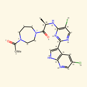 COC(=O)N1CCCN(C(=O)[C@@H](C)Nc2nc(-c3c[nH]c4ncc(Cl)cc34)ncc2F)CC1